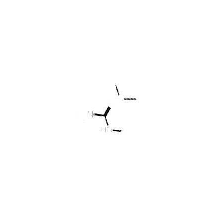 CSC.NC(=O)NCl